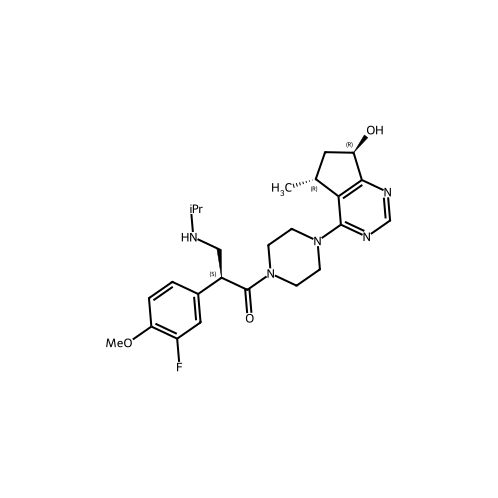 COc1ccc([C@@H](CNC(C)C)C(=O)N2CCN(c3ncnc4c3[C@H](C)C[C@H]4O)CC2)cc1F